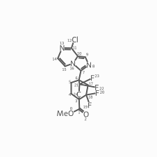 COC(=O)C12CCC(c3ncc4c(Cl)nccn34)(CC1(F)F)C(F)(F)C2